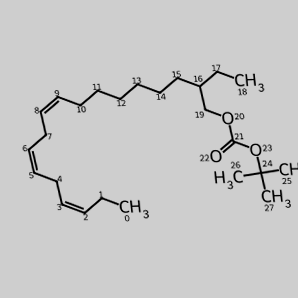 CC/C=C\C/C=C\C/C=C\CCCCCCC(CC)COC(=O)OC(C)(C)C